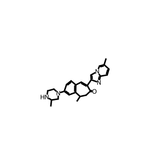 Cc1ccc2nc(C3=Cc4ccc(N5CCNC(C)C5)cc4C(C)CC3=O)cn2c1